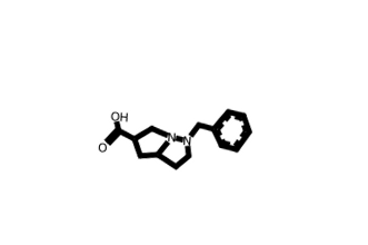 O=C(O)C1CC2CCN(Cc3ccccc3)N2C1